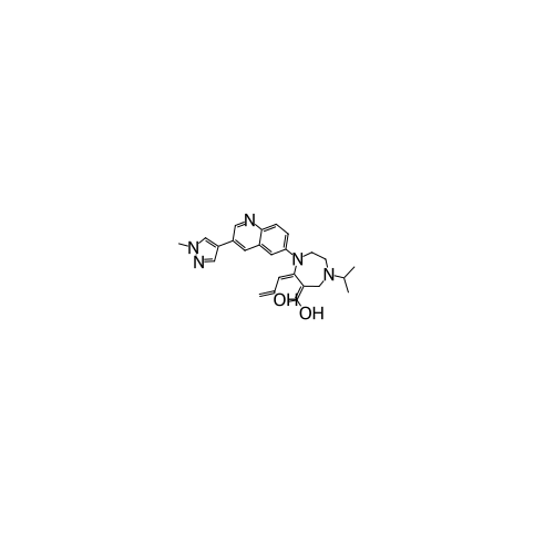 C=C(O)/C=C1\C(=C(/C)O)CN(C(C)C)CCN1c1ccc2ncc(-c3cnn(C)c3)cc2c1